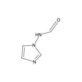 O=CNn1ccnc1